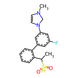 CC(c1ccccc1-c1cc(F)cc(N2C=CN(C)C2)c1)[SH](=O)=O